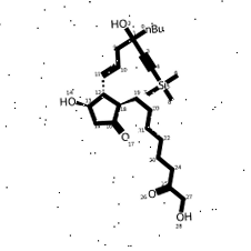 CCCCC(O)(C#C[Si](C)(C)C)CC=C[C@H]1[C@H](O)CC(=O)[C@@H]1CCCCCCC(=O)CO